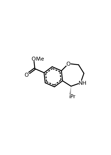 COC(=O)c1ccc2c(c1)OCCN[C@@H]2C(C)C